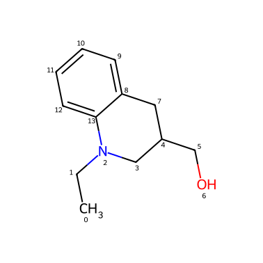 CCN1CC(CO)Cc2ccccc21